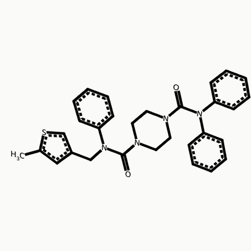 Cc1cc(CN(C(=O)N2CCN(C(=O)N(c3ccccc3)c3ccccc3)CC2)c2ccccc2)cs1